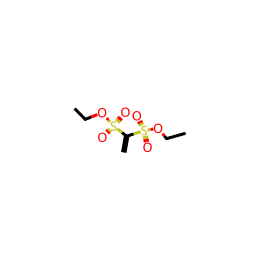 C=C(S(=O)(=O)OCC)S(=O)(=O)OCC